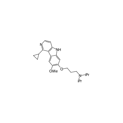 COc1cc2c(cc1OCCCN(C(C)C)C(C)C)[nH]c1ccnc(C3CC3)c12